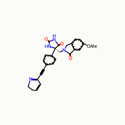 COc1ccc2c(c1)C(=O)N(C[C@]1(c3ccc(C#CC4=NCCC=C4)cc3)NC(=O)NC1=O)C2